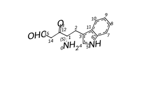 N[C@@H](Cc1c[nH]c2ccccc12)C(=O)CC=O